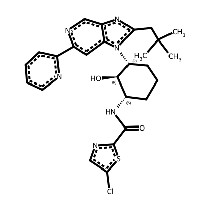 CC(C)(C)Cc1nc2cnc(-c3ccccn3)cc2n1[C@@H]1CCC[C@H](NC(=O)c2ncc(Cl)s2)[C@H]1O